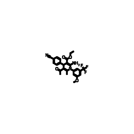 CCOC(=O)C1=C(N)N(c2cc(OC)cc(C(F)(F)F)c2)C(C)=C(C(C)=O)C1c1ccc(C#N)cc1